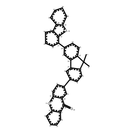 CC1(C)c2ccc(-c3ccc4oc5ccccc5c(=O)c4c3)cc2-c2cc(-c3cccc4c3sc3ccccc34)ccc21